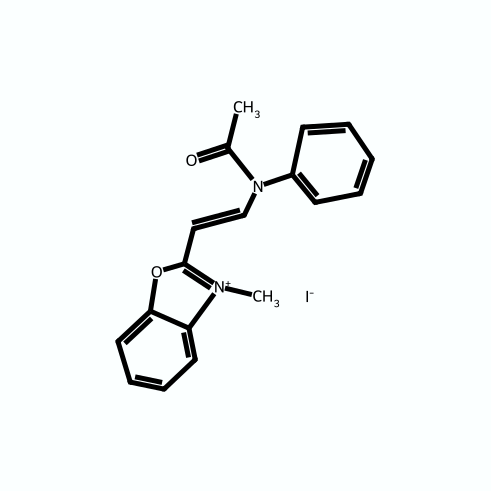 CC(=O)N(C=Cc1oc2ccccc2[n+]1C)c1ccccc1.[I-]